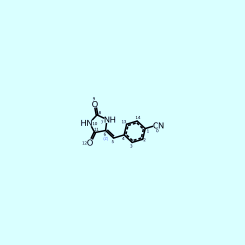 N#Cc1ccc(/C=C2\NC(=O)NC2=O)cc1